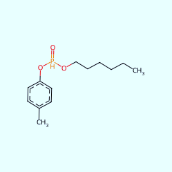 CCCCCCO[PH](=O)Oc1ccc(C)cc1